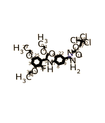 CCOC(=O)C(Nc1ccc(/C(N)=N/C(=O)OCC(Cl)(Cl)Cl)cc1)c1cc(OCC)cc(OCC)c1F